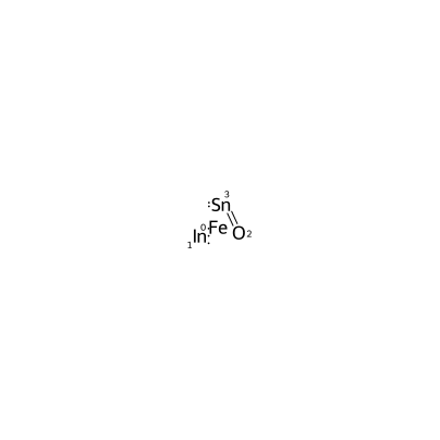 [Fe].[In].[O]=[Sn]